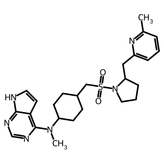 Cc1cccc(CC2CCCN2S(=O)(=O)CC2CCC(N(C)c3ncnc4[nH]ccc34)CC2)n1